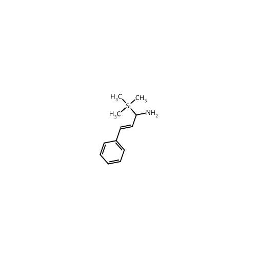 C[Si](C)(C)C(N)C=Cc1ccccc1